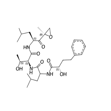 CC(C)CC(NC(=O)[C@@H](O)CCc1ccccc1)C(=O)N[C@H](C(=O)N[C@@H](CC(C)C)C(=O)[C@@]1(C)CO1)[C@H](C)O